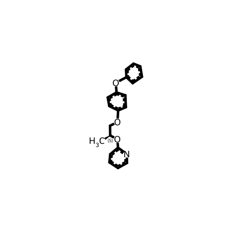 C[C@@H](COc1ccc(Oc2ccccc2)cc1)Oc1ccccn1